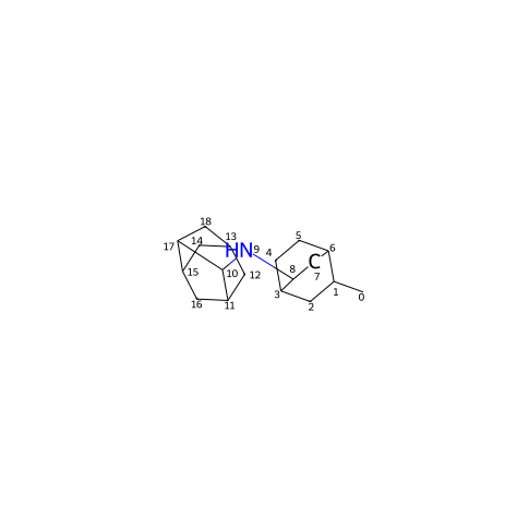 CC1CC2CCC1CC2NC1C2CC3CC(C2)C1C3